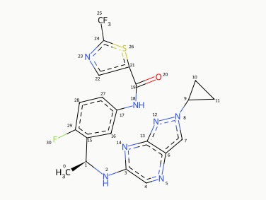 C[C@H](Nc1cnc2cn(C3CC3)nc2n1)c1cc(NC(=O)c2cnc(C(F)(F)F)s2)ccc1F